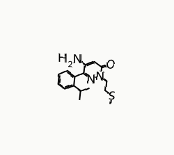 CSCCn1nc(-c2ccccc2C(C)C)c(N)cc1=O